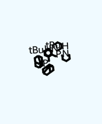 CC(C)(C)c1cc(CP(C2CCCCN2)C2CCCCN2)c(CP(C23CC4CC(CC(C4)C2)C3)C23CC4CC(CC(C4)C2)C3)cc1C(C)(C)C